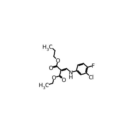 CCCOC(=O)/C(=C/Nc1ccc(F)c(Cl)c1)C(=O)OCC